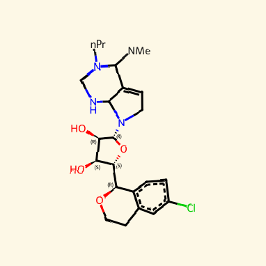 CCCN1CNC2C(=CCN2[C@@H]2O[C@H]([C@@H]3OCCc4cc(Cl)ccc43)[C@@H](O)[C@H]2O)C1NC